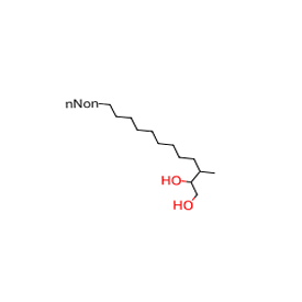 CCCCCCCCCCCCCCCCCCC(C)C(O)CO